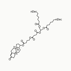 CCCCCCCCCCCCCCCC(=O)OCC(COC(=O)CCCCCCCCCCCCCCC)OC(=O)CCC(=O)OCCCC(=O)OC1CC[C@H]2[C@@H]3CCC4=CC(=O)CC[C@]4(C)[C@H]3CC[C@]12C